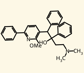 COc1nc(-c2ccccc2)ccc1C(c1ccccc1)C(O)(CCN(C)C)c1ccccc1